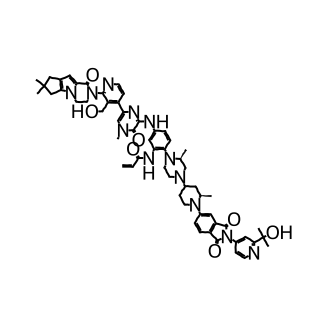 C=CC(=O)Nc1cc(Nc2nc(-c3ccnc(N4CCn5c(cc6c5CC(C)(C)C6)C4=O)c3CO)cn(C)c2=O)ccc1N1CCN(C2CCN(c3ccc4c(c3)C(=O)N(c3ccnc(C(C)(C)O)c3)C4=O)[C@H](C)C2)C[C@@H]1C